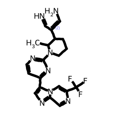 CC1C(/C(C=N)=C/N)CCCN1c1nccc(-c2cnc3cnc(C(F)(F)F)cn23)n1